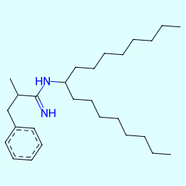 CCCCCCCCC(CCCCCCCC)NC(=N)C(C)Cc1ccccc1